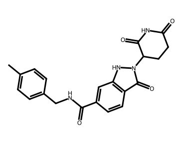 Cc1ccc(CNC(=O)c2ccc3c(=O)n(C4CCC(=O)NC4=O)[nH]c3c2)cc1